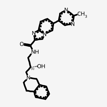 Cc1ncc(-c2ccc3nc(C(=O)NC[C@H](O)CN4CCc5ccccc5C4)cn3c2)cn1